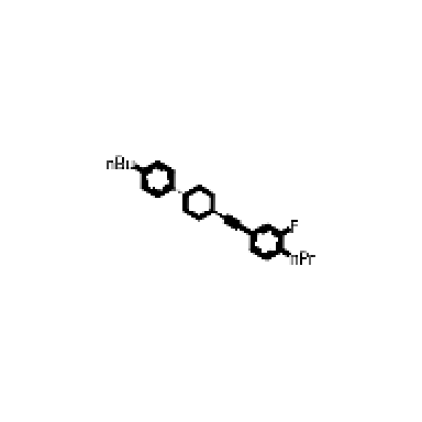 CCCCc1ccc([C@H]2CC[C@H](C#Cc3ccc(CCC)c(F)c3)CC2)cc1